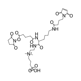 C[N+](C)(CCCS(=O)(=O)O)CCNC(=O)C(CCCCNC(=O)CCCN1C(=O)C=CC1=O)NC(=O)CCCC(=O)ON1C(=O)CCC1=O